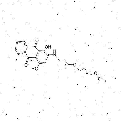 COCCCOCCCNc1cc(O)c2c(c1O)C(=O)c1ccccc1C2=O